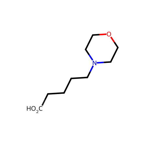 O=C(O)CCCCN1CCOCC1